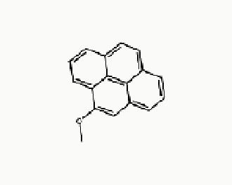 COc1cc2cccc3ccc4c[c]cc1c4c32